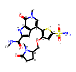 CC(C)NC(=O)c1cc2c(-c3sc(S(N)(=O)=O)cc3OCC3CCC(=O)N3C)cn(C)c(=O)c2[nH]1